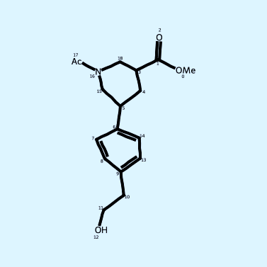 COC(=O)C1CC(c2ccc(CCO)cc2)CN(C(C)=O)C1